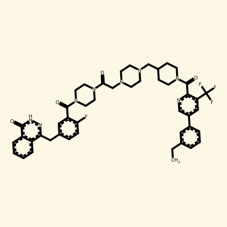 CCc1cccc(-c2cnc(C(=O)N3CCC(CN4CCN(CC(=O)N5CCN(C(=O)c6cc(Cc7n[nH]c(=O)c8ccccc78)ccc6F)CC5)CC4)CC3)c(C(F)(F)F)c2)c1